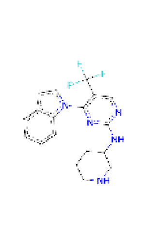 FC(F)(F)c1cnc(NC2CCCNC2)nc1-n1ccc2ccccc21